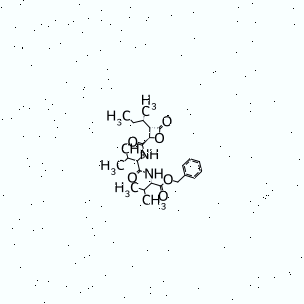 CC[C@H](C)[C@@H]1C(=O)O[C@H]1C(=O)NC(C(=O)N[C@H](C(=O)OCc1ccccc1)C(C)C)C(C)C